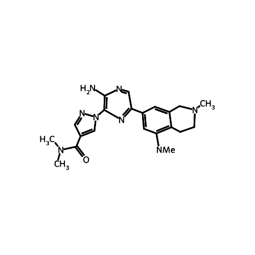 CNc1cc(-c2cnc(N)c(-n3cc(C(=O)N(C)C)cn3)n2)cc2c1CCN(C)C2